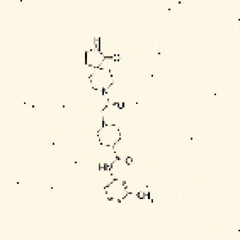 Cc1cccc(NC(=O)C2CCN(CC(=O)N3CCC4(CCNC4=O)CC3)CC2)c1